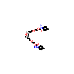 Cc1ccc(NC(=O)OCCOCCC[Si](C)(C)O[Si](C)(C)CCCOCCOC(=O)Nc2ccc(C)cc2)cc1